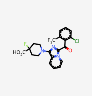 O=C(c1c(Cl)cccc1C(F)(F)F)c1nc(N2CCC(F)(C(=O)O)CC2)c2ccccn12